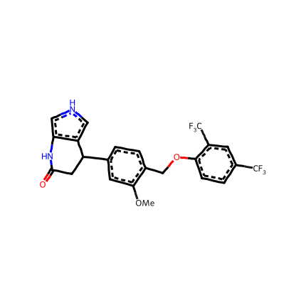 COc1cc(C2CC(=O)Nc3c[nH]cc32)ccc1COc1ccc(C(F)(F)F)cc1C(F)(F)F